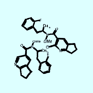 CON(C(=O)c1cc2c(nc1Cl)CCC2)C(C)Cc1ccccc1F.CON(C(=O)c1cnc2c(c1)CCC2)C(C)Cc1ccccc1F